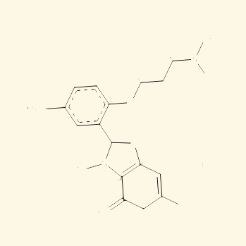 COc1ccc(OCCCN(C)C(C)C)c(C2SC3=C(C(=O)CC(Cl)=C3)N2C(C)=O)c1.Cl